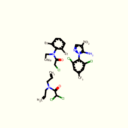 C=CCN(CC=C)C(=O)C(Cl)Cl.CCc1cccc(CC)c1N(COC)C(=O)CCl.Nc1c([N+](=O)[O-])cnn1-c1c(Cl)cc(C(F)(F)F)cc1Cl